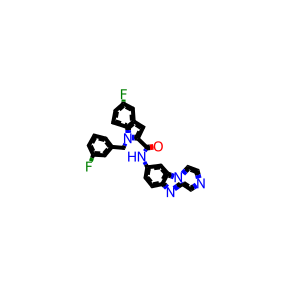 O=C(Nc1ccc2nc3cnccn3c2c1)c1cc2cc(F)ccc2n1Cc1cccc(F)c1